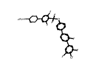 CCCCCC1CCC(c2cc(F)c(C(F)(F)Oc3ccc(-c4ccc(-c5cc(F)c(Cl)c(F)c5)c(F)c4)cc3)c(F)c2)CC1